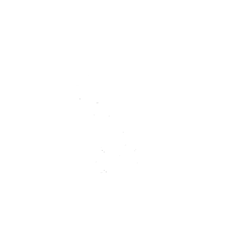 Fc1ccc(C(CCCCc2ccccc2)c2c[nH]cn2)cc1